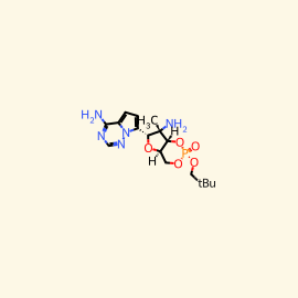 CC(C)(C)CO[P@]1(=O)OC[C@H]2O[C@H](c3ccc4c(N)ncnn34)[C@](C)(N)[C@@H]2O1